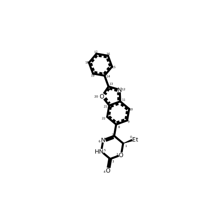 CC[C@H]1OC(=O)NN=C1c1ccc2nc(-c3ccccc3)oc2c1